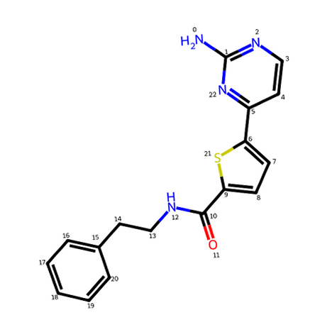 Nc1nccc(-c2ccc(C(=O)NCCc3ccccc3)s2)n1